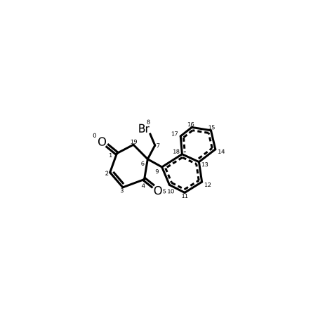 O=C1C=CC(=O)C(CBr)(c2cccc3ccccc23)C1